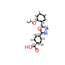 CCOc1ccccc1-c1nnc(-c2ccc(C(=O)O)cc2)o1